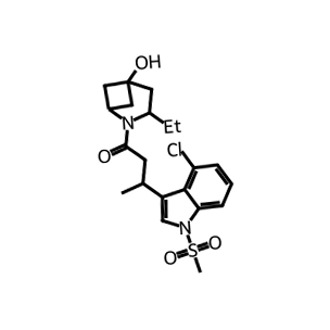 CCC1CC2(O)CC(C2)N1C(=O)CC(C)c1cn(S(C)(=O)=O)c2cccc(Cl)c12